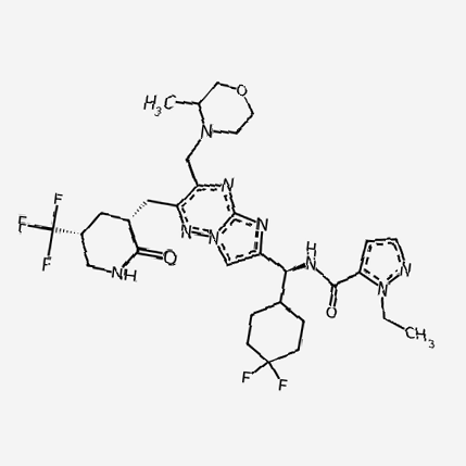 CCn1nccc1C(=O)N[C@H](c1cn2nc(C[C@H]3C[C@@H](C(F)(F)F)CNC3=O)c(CN3CCOCC3C)nc2n1)C1CCC(F)(F)CC1